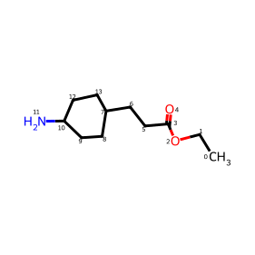 CCOC(=O)CCC1CCC(N)CC1